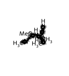 COc1cc(Nc2ncc(C(=O)Nc3c(C)cccc3C)c(Oc3ccc(N4CCNCC4)cc3)n2)ccc1OCCCN1CCN(C)CC1